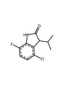 CC(C)C1C(=O)Nc2c(F)ccc(Cl)c21